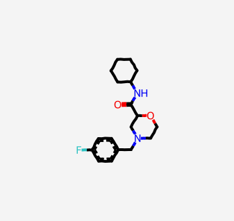 O=C(NC1CCCCC1)C1CN(Cc2ccc(F)cc2)CCO1